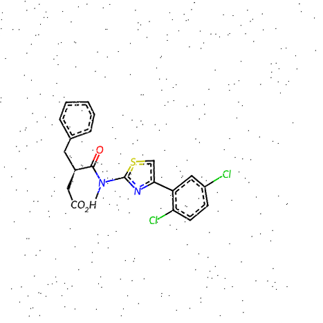 CN(C(=O)[C@@H](CC(=O)O)Cc1ccccc1)c1nc(-c2cc(Cl)ccc2Cl)cs1